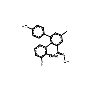 COc1c(F)cccc1-c1c(/C(N)=N/O)cc(C)cc1-c1ccc(O)cc1